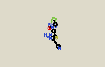 NC(=O)N(c1ccc(-c2csc3c(C#Cc4ccncc4)cnc(N)c23)cc1)c1cccc(C(F)(F)F)c1